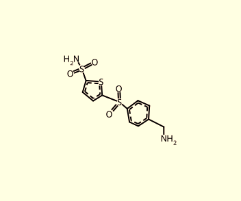 NCc1ccc(S(=O)(=O)c2ccc(S(N)(=O)=O)s2)cc1